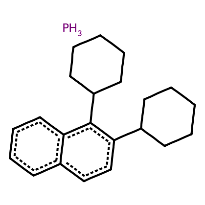 P.c1ccc2c(C3CCCCC3)c(C3CCCCC3)ccc2c1